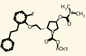 CCCCCCCCOC(=O)N1C[C@H](OC(=O)N(C)C)C[C@H]1CCOc1c(F)cccc1CCc1ccccc1